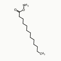 CCCCCCCCCCCCC(=O)ON